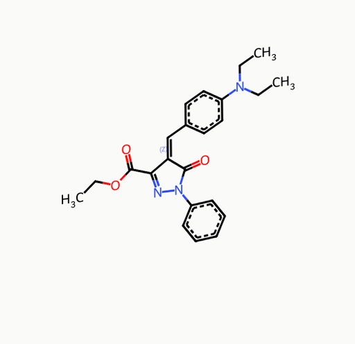 CCOC(=O)C1=NN(c2ccccc2)C(=O)/C1=C\c1ccc(N(CC)CC)cc1